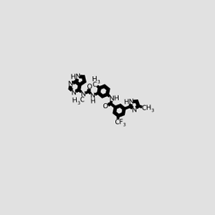 Cc1c[nH]c(-c2cc(C(=O)Nc3ccc(C)c(NC(=O)N(C)c4ncnc5[nH]ccc45)c3)cc(C(F)(F)F)c2)n1